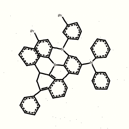 CC(C)c1cccc(N2c3cc(C(C)C)ccc3B3C4=c5c(cccc5=C(c5ccccc5)CC4c4ccccc4)-c4cc(N(c5ccccc5)c5ccccc5)cc2c43)c1